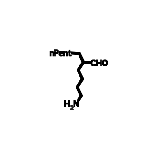 CCCCCCC(C=O)CCCCN